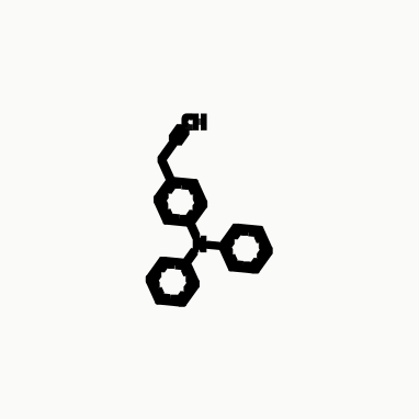 C#CCc1ccc(N(c2ccccc2)c2ccccc2)cc1